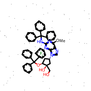 COc1nc(NC(c2ccccc2)(c2ccccc2)c2ccccc2)nc2c1ncn2[C@@H]1C[C@](O)(CO)[C@@H](OC(c2ccccc2)(c2ccccc2)c2ccccc2)[C@@H]1F